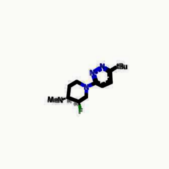 CN[C@@H]1CCN(c2ccc(C(C)(C)C)nn2)C[C@H]1F